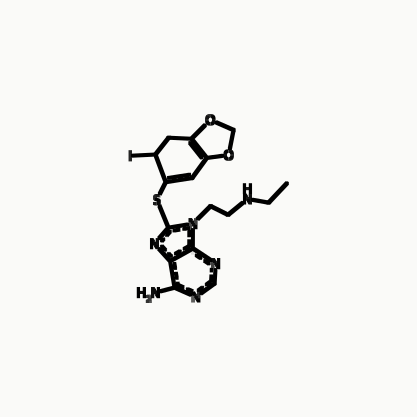 CCNCCn1c(SC2=CC3=C(CC2I)OCO3)nc2c(N)ncnc21